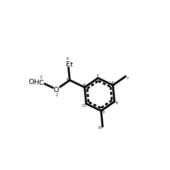 CCC(OC=O)c1cc(C)cc(C)c1